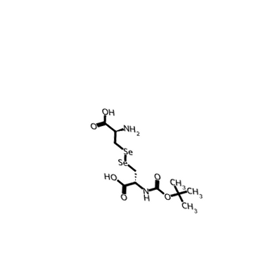 CC(C)(C)OC(=O)N[C@@H](C[Se][Se]C[C@H](N)C(=O)O)C(=O)O